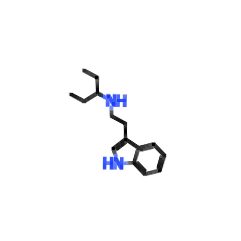 CCC(CC)NCCc1c[nH]c2ccccc12